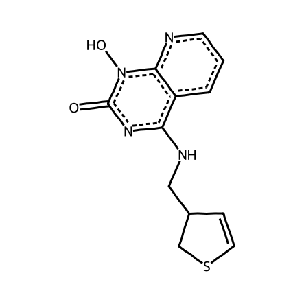 O=c1nc(NCC2C=CSC2)c2cccnc2n1O